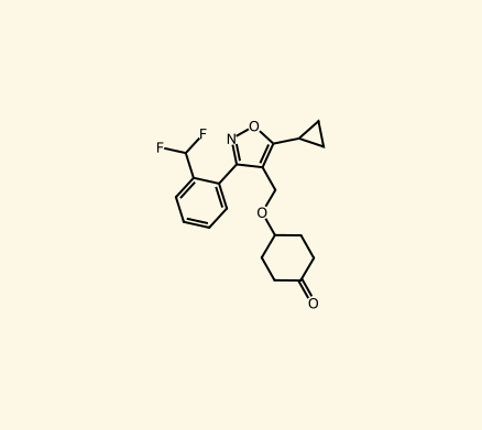 O=C1CCC(OCc2c(-c3ccccc3C(F)F)noc2C2CC2)CC1